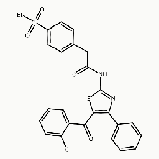 CCS(=O)(=O)c1ccc(CC(=O)Nc2nc(-c3ccccc3)c(C(=O)c3ccccc3Cl)s2)cc1